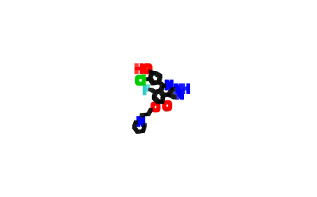 COc1c(OCCCN2CCCCC2)cc(CF)c2c(-c3ccc(O)c(Cl)c3)nc3[nH]ncc3c12